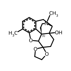 Cc1ccc2c3c1OC1C4(CCC5(O)C(C2)N(C)CC[C@]315)OCCO4